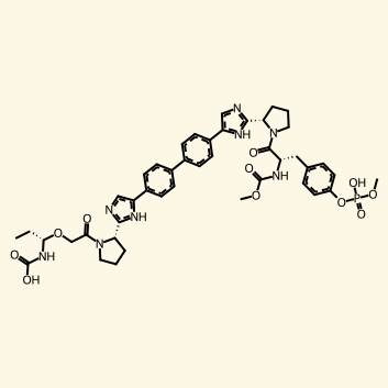 CC[C@@H](NC(=O)O)OCC(=O)N1CCC[C@H]1c1ncc(-c2ccc(-c3ccc(-c4cnc([C@@H]5CCCN5C(=O)[C@H](Cc5ccc(OP(=O)(O)OC)cc5)NC(=O)OC)[nH]4)cc3)cc2)[nH]1